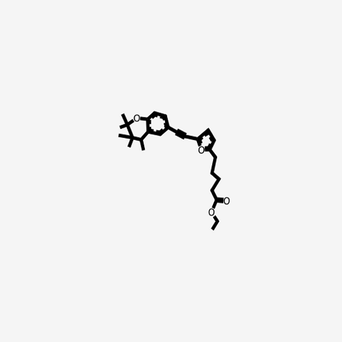 CCOC(=O)CCCCc1ccc(C#Cc2ccc3c(c2)C(C)C(C)(C)C(C)(C)O3)o1